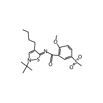 CCCCc1cn(C(C)(C)C)s/c1=N\C(=O)c1cc(S(C)(=O)=O)ccc1OC